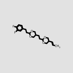 C/C=C/C1COC(CCC2COC(CCc3ccc(F)c(F)c3)OC2)OC1